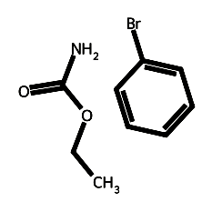 Brc1ccccc1.CCOC(N)=O